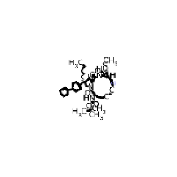 CCCCS[C@@]1(c2ccc(-c3ccccc3)cc2)C[C@H]2C(=O)N[C@]3(C(=O)OCC)C[C@H]3/C=C\CCCCC[C@H](NC(=O)OC(C)(C)C)C(=O)N2C1